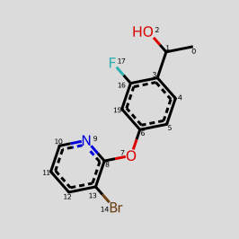 CC(O)c1ccc(Oc2ncccc2Br)cc1F